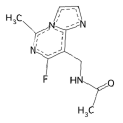 CC(=O)NCc1c(F)nc(C)n2ccnc12